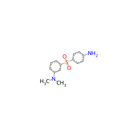 CN(C)c1cccc(S(=O)(=O)c2ccc(N)cc2)c1